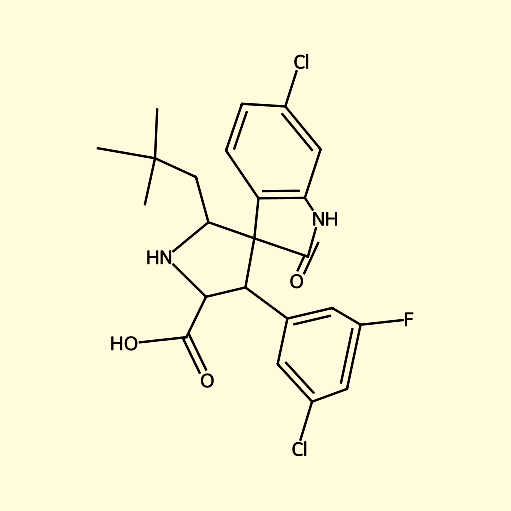 CC(C)(C)CC1NC(C(=O)O)C(c2cc(F)cc(Cl)c2)C12C(=O)Nc1cc(Cl)ccc12